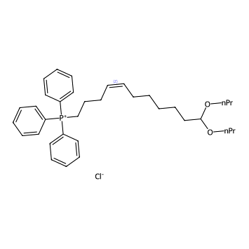 CCCOC(CCCCC/C=C\CCC[P+](c1ccccc1)(c1ccccc1)c1ccccc1)OCCC.[Cl-]